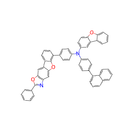 c1ccc(-c2nc3cc4oc5c(-c6ccc(N(c7ccc(-c8cccc9ccccc89)cc7)c7ccc8oc9ccccc9c8c7)cc6)cccc5c4cc3o2)cc1